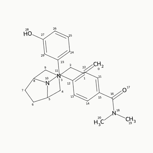 C=CCN1CC2CCC(C1)N2C(c1ccc(C(=O)N(C)C)cc1)c1cccc(O)c1